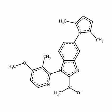 COc1ccnc(-n2c([S+](C)[O-])nc3cc(-n4c(C)ccc4C)ccc32)c1C